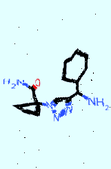 NC(=O)C1(n2cc(C(N)C3CCCCC3)nn2)CC1